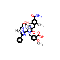 CCCCO.COc1ccc(CN(C(=O)C(N)Cc2c(C)cc(C(N)=O)cc2C)C(C)c2nc(-c3ccccc3)c[nH]2)cc1C(=O)O